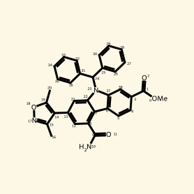 COC(=O)c1ccc2c3c(C(N)=O)cc(-c4c(C)noc4C)cc3n(C(c3ccccc3)c3ccccc3)c2c1